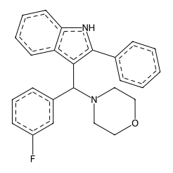 Fc1cccc(C(c2c(-c3ccccc3)[nH]c3ccccc23)N2CCOCC2)c1